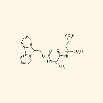 C[C@H](NC(=O)OCC1c2ccccc2-c2ccccc21)C(=O)N[C@@H](CCC(=O)O)C(=O)O